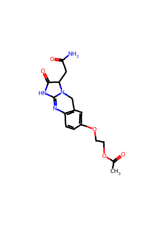 CC(=O)OCCOc1ccc2c(c1)CN1C(=N2)NC(=O)C1CC(N)=O